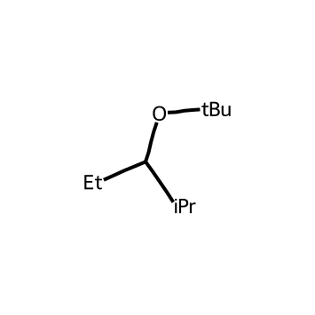 CCC(OC(C)(C)C)C(C)C